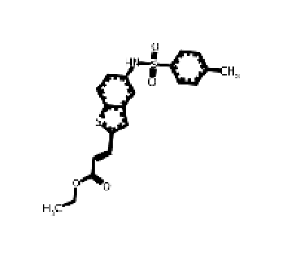 CCOC(=O)/C=C/c1cc2cc(NS(=O)(=O)c3ccc(C)cc3)ccc2s1